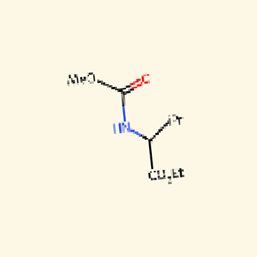 CCOC(=O)C(NC(=O)OC)C(C)C